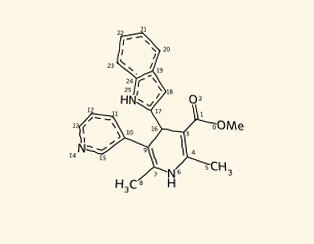 COC(=O)C1=C(C)NC(C)=C(c2cccnc2)C1c1cc2ccccc2[nH]1